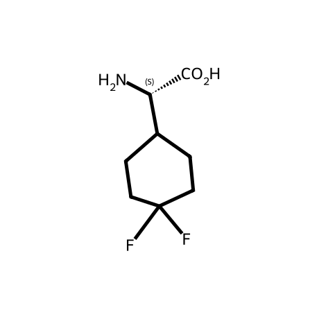 N[C@H](C(=O)O)C1CCC(F)(F)CC1